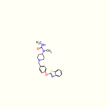 CNC(=O)N(C)C1CCN(Cc2ccc(Oc3nc4ccccc4s3)cc2)CC1